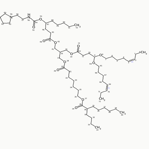 CC/C=C\CCCCOC(CCC(=O)OCC(COC(=O)CCCCCCOC(=O)C(CCCC)CCCCCC)COC(=O)CCC(CCCCC)OC(=O)NCCN1CCCC1)OCCCC/C=C\CC